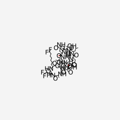 CC[C@H](C)[C@H](NC[C@@](C=O)(NC(=O)[C@@H](CCC(N)=O)NC(=O)[C@H](CO)NC(=O)[C@@H](NC(=O)[C@@H](Cc1ccccc1)NC)[C@@H](C)CC)[C@@H](C)CC)C(=O)N[C@@](C=O)(CO)CN[C@H]1C(=O)N[C@@H](C)C(=O)NC2(CC2CC(F)F)C(=O)N[C@@H](CCCCCCC(F)F)C(=O)O[C@H]1C